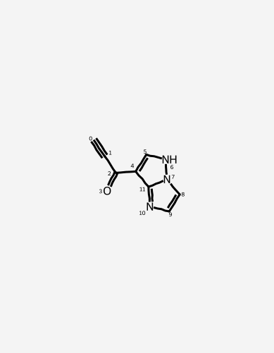 C#CC(=O)c1c[nH]n2ccnc12